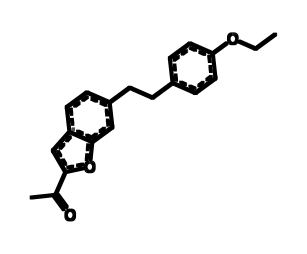 CCOc1ccc(CCc2ccc3cc(C(C)=O)oc3c2)cc1